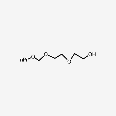 CCCOCOCCOCCO